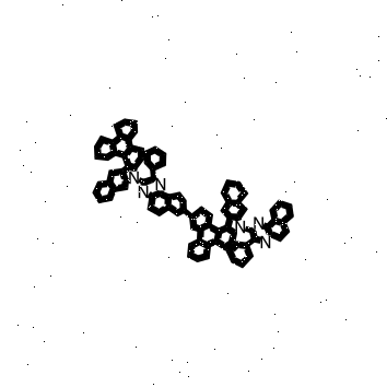 c1ccc(-c2nc3c(ccc4cc(-c5ccc6c(c5)c5ccccc5c5ccc7c(c8cc9ccccc9cc8n7-c7nc8c(ccc9ccccc98)nc7-c7ccccc7)c56)ccc43)nc2-n2c3cc4ccccc4cc3c3c4c5ccccc5c5ccccc5c4ccc32)cc1